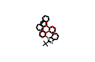 CC(C)(C)c1nc2ccccc2n1-c1ccccc1-c1ccccc1-c1ccccc1-c1ccccc1-c1ccccc1-n1c2ccccc2c2ccccc21